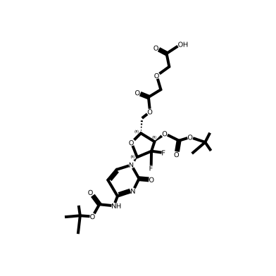 CC(C)(C)OC(=O)Nc1ccn([C@@H]2O[C@H](COC(=O)COCC(=O)O)[C@@H](OC(=O)OC(C)(C)C)C2(F)F)c(=O)n1